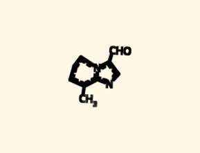 Cc1cccn2c(C=O)cnc12